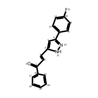 O=C(/C=C/c1cc(-c2ccc(F)cc2)n[nH]1)c1ccccc1